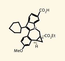 CCOC(=O)[C@]12C[C@H]1c1cc(OC)ccc1-c1c(C3CCCCC3)c3ccc(C(=O)O)cc3n1C2